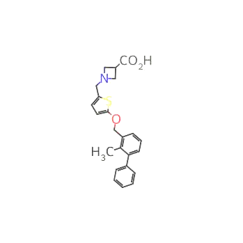 Cc1c(COc2ccc(CN3CC(C(=O)O)C3)s2)cccc1-c1ccccc1